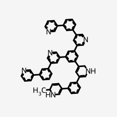 CC1C=CC(c2cccc(C3=CNCC(c4cc(-c5cncc(-c6cccc(-c7cccnc7)c6)c5)cc(-c5cncc(-c6cccc(-c7cccnc7)c6)c5)c4)=C3)c2)=CN1